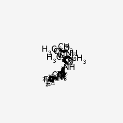 CO[C@H](C)C1C(=O)Nc2c(cc(NCc3cnn(CC4(C)CC(F)(F)C4)c3)nc2C)N1C